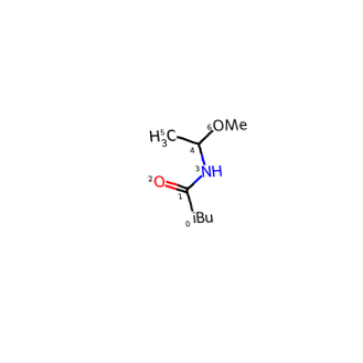 CCC(C)C(=O)NC(C)OC